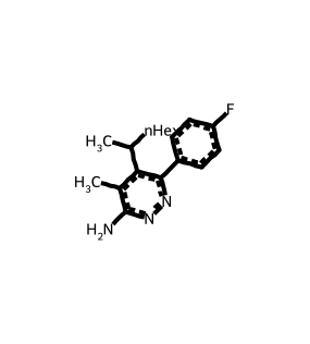 CCCCCCC(C)c1c(-c2ccc(F)cc2)nnc(N)c1C